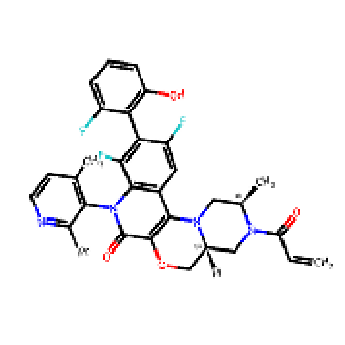 C=CC(=O)N1C[C@@H]2COc3c(c4cc(F)c(-c5c(O)cccc5F)c(F)c4n(-c4c(C)ccnc4C(C)C)c3=O)N2C[C@H]1C